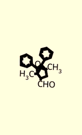 CC12CC(C=O)C(C)(C1=O)C(c1ccccc1)=C2c1ccccc1